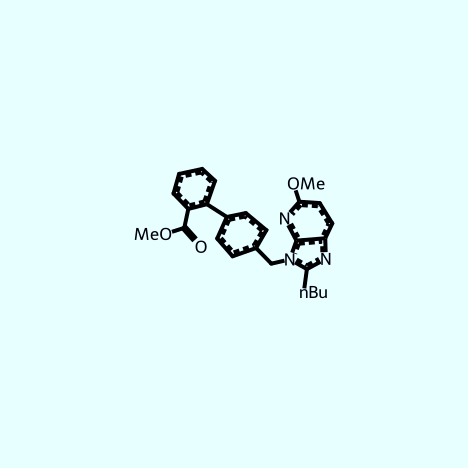 CCCCc1nc2ccc(OC)nc2n1Cc1ccc(-c2ccccc2C(=O)OC)cc1